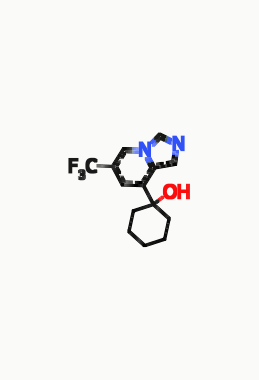 OC1(c2cc(C(F)(F)F)cn3cncc23)CCCCC1